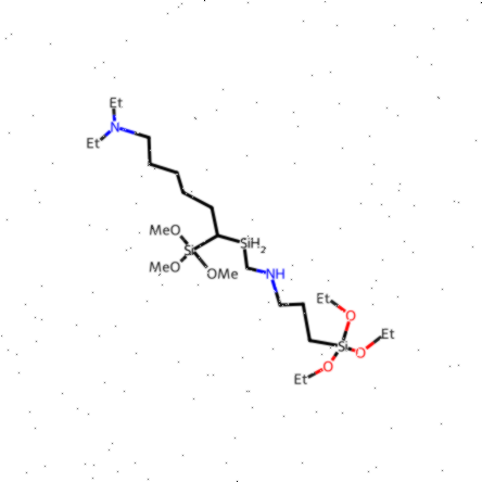 CCO[Si](CCCNC[SiH2]C(CCCCCN(CC)CC)[Si](OC)(OC)OC)(OCC)OCC